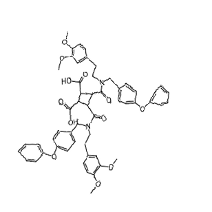 COc1ccc(CCN(Cc2ccc(Oc3ccccc3)cc2)C(=O)C2C(C(=O)O)C(C(=O)O)C2C(=O)N(CCc2ccc(OC)c(OC)c2)Cc2ccc(Oc3ccccc3)cc2)cc1OC